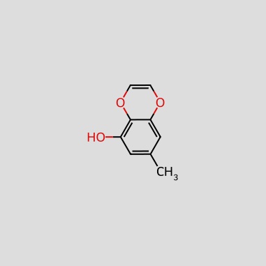 Cc1cc(O)c2c(c1)OC=CO2